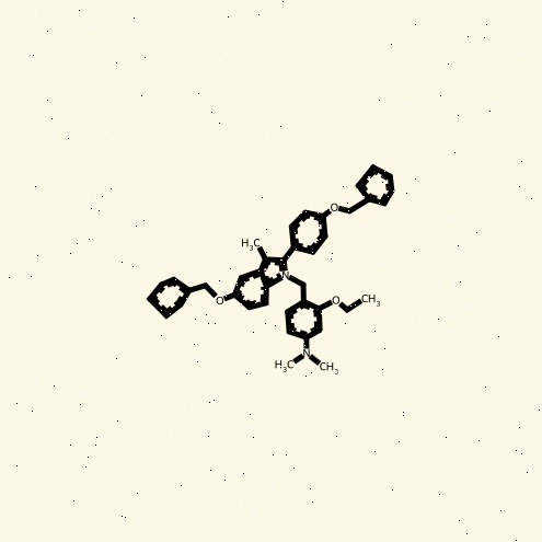 CCOc1cc(N(C)C)ccc1Cn1c(-c2ccc(OCc3ccccc3)cc2)c(C)c2cc(OCc3ccccc3)ccc21